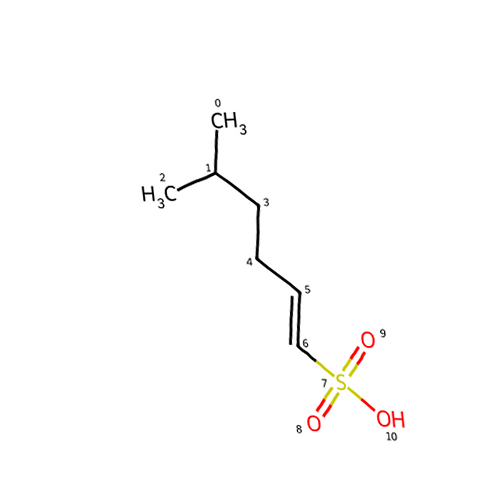 CC(C)CC/C=C/S(=O)(=O)O